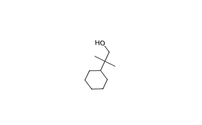 CC(C)(CO)C1CCCCC1